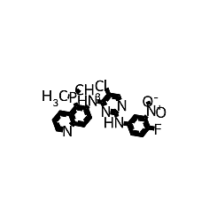 CP(C)c1c(Nc2nc(Nc3ccc(F)c([N+](=O)[O-])c3)ncc2Cl)ccc2ncccc12